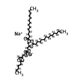 CCCCCCCCCCCCCC(=O)OC[C@H](COP(=O)([O-])OCC1COC(CCCCC)O1)OC(=O)CCCCCCCCCCCCC.[Na+]